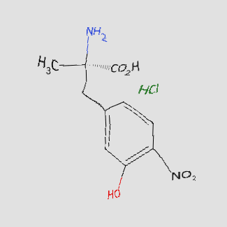 C[C@@](N)(Cc1ccc([N+](=O)[O-])c(O)c1)C(=O)O.Cl